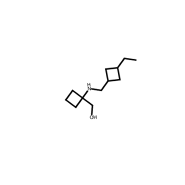 CCC1CC(CNC2(CO)CCC2)C1